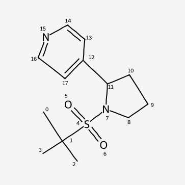 CC(C)(C)S(=O)(=O)N1CCCC1c1ccncc1